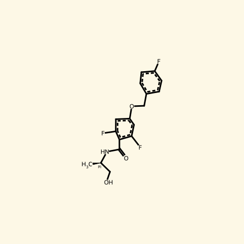 C[C@H](CO)NC(=O)c1c(F)cc(OCc2ccc(F)cc2)cc1F